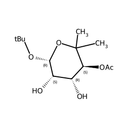 CC(=O)O[C@H]1[C@H](O)[C@H](O)[C@H](OC(C)(C)C)OC1(C)C